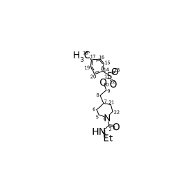 CCNC(=O)N1CCC(CCOS(=O)(=O)c2ccc(C)cc2)CC1